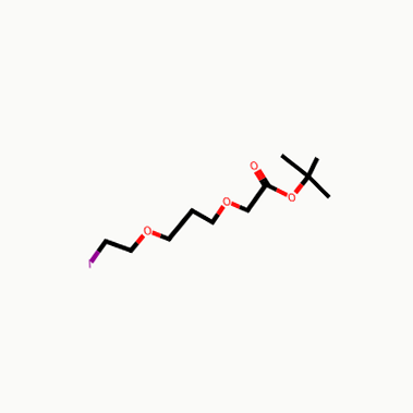 CC(C)(C)OC(=O)COCCCOCCI